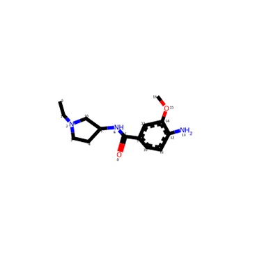 CCN1CCC(NC(=O)c2ccc(N)c(OC)c2)C1